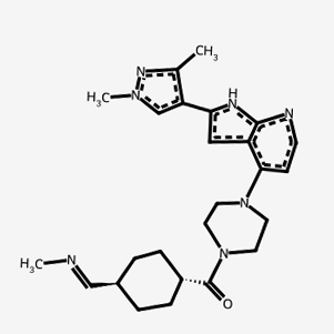 CN=C[C@H]1CC[C@H](C(=O)N2CCN(c3ccnc4[nH]c(-c5cn(C)nc5C)cc34)CC2)CC1